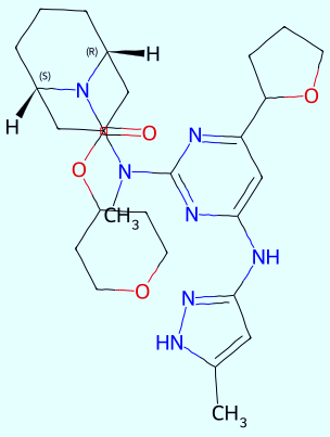 Cc1cc(Nc2cc(C3CCCO3)nc(N(C)C3C[C@H]4CCC[C@@H](C3)N4C(=O)OC3CCOCC3)n2)n[nH]1